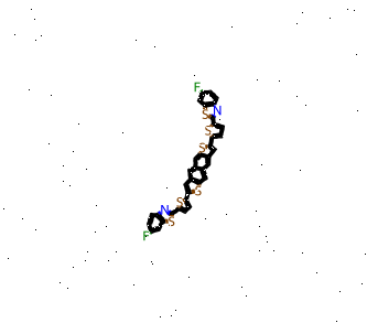 Fc1ccc2nc(-c3ccc(-c4cc5cc6cc7sc(-c8ccc(-c9nc%10ccc(F)cc%10s9)s8)cc7cc6cc5s4)s3)sc2c1